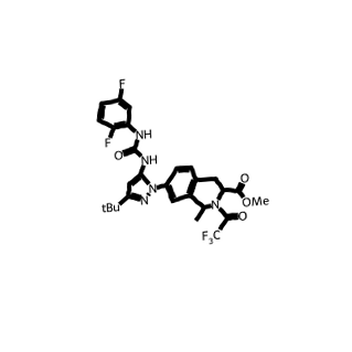 COC(=O)C1Cc2ccc(-n3nc(C(C)(C)C)cc3NC(=O)Nc3cc(F)ccc3F)cc2C(C)N1C(=O)C(F)(F)F